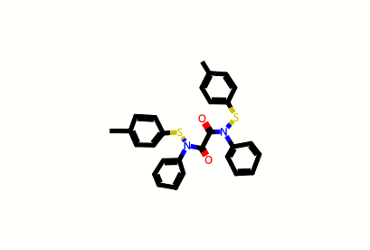 Cc1ccc(SN(C(=O)C(=O)N(Sc2ccc(C)cc2)c2ccccc2)c2ccccc2)cc1